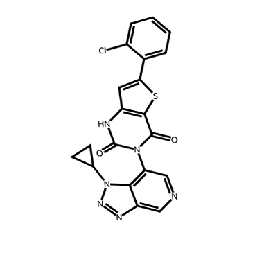 O=c1[nH]c2cc(-c3ccccc3Cl)sc2c(=O)n1-c1cncc2nnn(C3CC3)c12